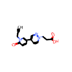 C#CCn1cc(-c2cc[n+](CCC(=O)O)nc2)ccc1=O